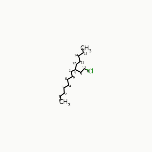 CCCCCCCCC(CCCl)CCCCC